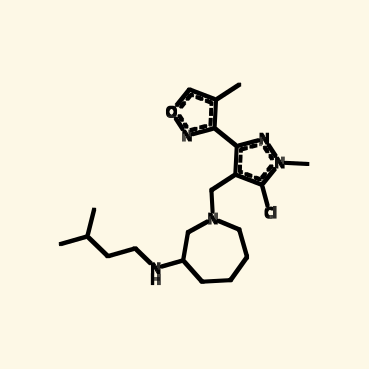 Cc1conc1-c1nn(C)c(Cl)c1CN1CCCCC(NCCC(C)C)C1